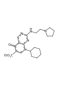 CCOC(=O)c1cn(C2CCCCC2)c2nc(NCCN3CCCC3)ncc2c1=O